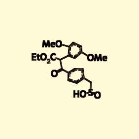 CCOC(=O)C(C(=O)c1ccc(CS(=O)O)cc1)c1cc(OC)ccc1OC